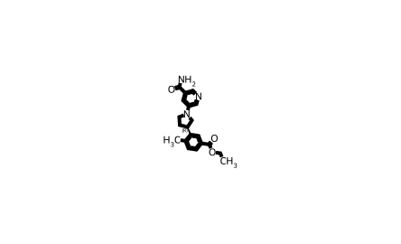 CCOC(=O)c1ccc(C)c([C@H]2CCN(c3cncc(C(N)=O)c3)C2)c1